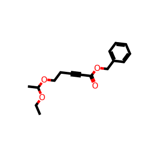 CCOC(C)OCCC#CC(=O)OCc1ccccc1